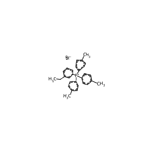 CCc1cccc([P+](c2ccc(C)cc2)(c2ccc(C)cc2)c2ccc(C)cc2)c1.[Br-]